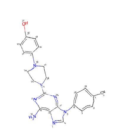 N#Cc1ccc(-n2cnc3c(N)nc(N4CCN(c5ccc(O)cc5)CC4)nc32)cc1